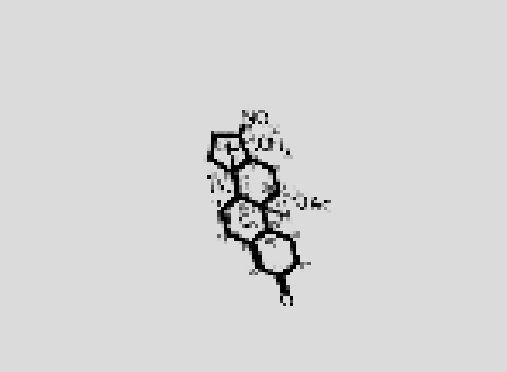 CC(=O)O[C@H]1C[C@]2(C)C([N+](=O)[O-])CC[C@H]2[C@@H]2CCC3=CC(=O)CC[C@]3(C)[C@H]21